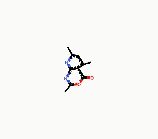 Cc1cc(C)c2c(=O)oc(C)nc2n1